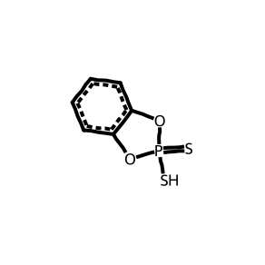 S=P1(S)Oc2ccccc2O1